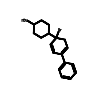 CCCCC1CCC(C2(Br)C=CC(c3ccccc3)=CC2)CC1